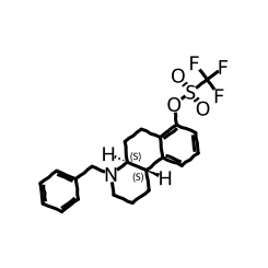 O=S(=O)(Oc1cccc2c1CC[C@H]1[C@H]2CCCN1Cc1ccccc1)C(F)(F)F